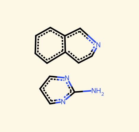 Nc1ncccn1.c1ccc2cnccc2c1